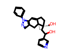 C[C@]12Cc3cnn(-c4ccccc4)c3C=C1CC[C@@]2(CO)CC(O)c1cccnc1